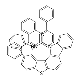 c1ccc(-c2cccc(-n3c4ccccc4c4ccc5sc6ccc7c8ccccc8n(-c8nc(-c9ccccc9)c9ccccc9n8)c7c6c5c43)c2)cc1